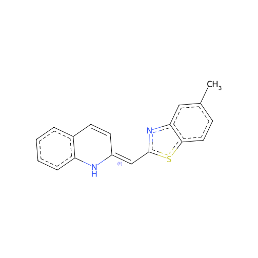 Cc1ccc2sc(/C=C3\C=Cc4ccccc4N3)nc2c1